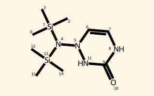 C[Si](C)(C)N(N1C=CNC(=O)N1)[Si](C)(C)C